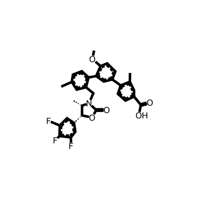 COc1ccc(-c2ccc(C(=O)O)cc2C)cc1-c1ccc(C)cc1CN1C(=O)O[C@H](c2cc(F)c(F)c(F)c2)[C@@H]1C